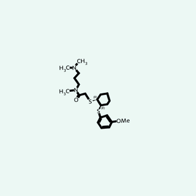 COc1cccc(S[C@@H]2CCCC[C@H]2SCC(=O)N(C)CCCN(C)C)c1